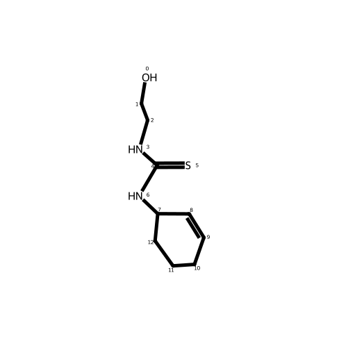 OCCNC(=S)NC1C=CCCC1